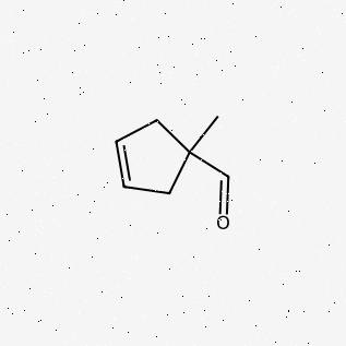 CC1(C=O)CC=CC1